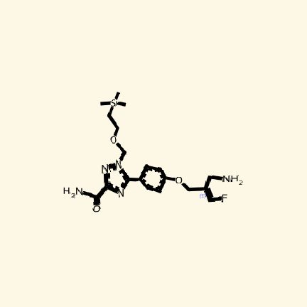 C[Si](C)(C)CCOCn1nc(C(N)=O)nc1-c1ccc(OC/C(=C/F)CN)cc1